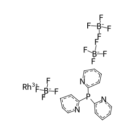 F[B-](F)(F)F.F[B-](F)(F)F.F[B-](F)(F)F.[Rh+3].c1ccc(P(c2ccccn2)c2ccccn2)nc1